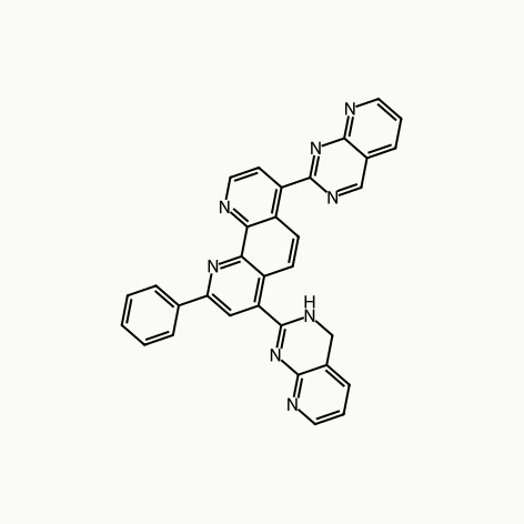 c1ccc(-c2cc(C3=Nc4ncccc4CN3)c3ccc4c(-c5ncc6cccnc6n5)ccnc4c3n2)cc1